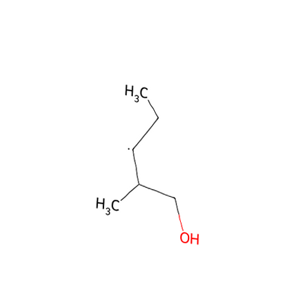 CC[CH]C(C)CO